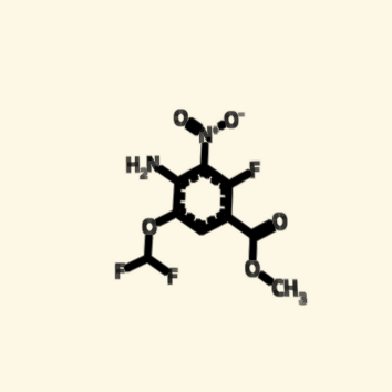 COC(=O)c1cc(OC(F)F)c(N)c([N+](=O)[O-])c1F